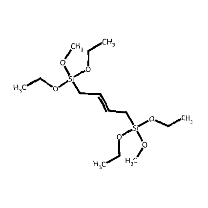 CCO[Si](C/C=C/C[Si](OC)(OCC)OCC)(OC)OCC